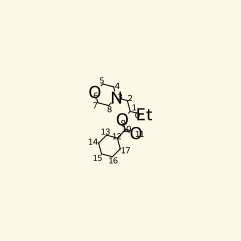 CCC(CN1CCOCC1)OC(=O)C1CCCCC1